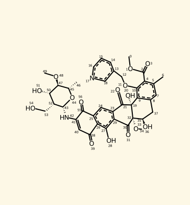 COC(=O)c1c(C)cc2c(c1OCc1cccnc1)[C@]1(O)C(=O)c3cc4c(c(O)c3C(=O)[C@]1(OC)[C@H](O)C2)C(=O)C=C(N[C@H]1O[C@@H](C)[C@H](OC)[C@@H](O)[C@H]1CO)C4=O